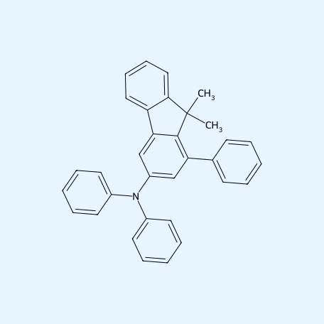 CC1(C)c2ccccc2-c2cc(N(c3ccccc3)c3ccccc3)cc(-c3ccccc3)c21